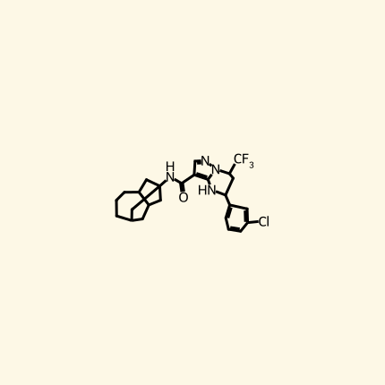 O=C(NC12CC3CCCC(C1)C(C3)C2)c1cnn2c1NC(c1cccc(Cl)c1)CC2C(F)(F)F